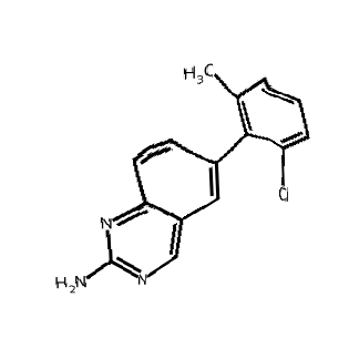 Cc1cccc(Cl)c1-c1ccc2nc(N)ncc2c1